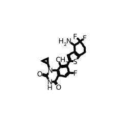 Cc1c(-c2cc3c(s2)CCC(F)(F)C3N)c(F)cc2c(=O)[nH]c(=O)n(C3CC3)c12